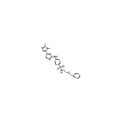 Cc1ncc(-c2ccnc(Nc3ccc(S(=O)(=O)NCCOCc4ccccc4)cc3)n2)n1C